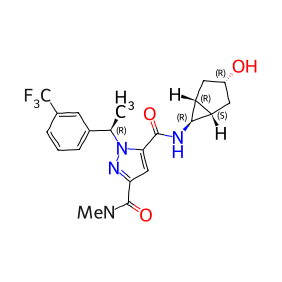 CNC(=O)c1cc(C(=O)N[C@H]2[C@@H]3C[C@H](O)C[C@@H]32)n([C@H](C)c2cccc(C(F)(F)F)c2)n1